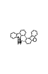 Brc1ccc2oc3ccccc3c2c1-c1cccc2c1[nH]c1ccccc12